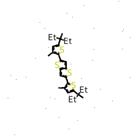 CCC(C)(CC)c1cc(C)c(-c2cc3sc(-c4sc(C(C)(CC)CC)cc4C)cc3s2)s1